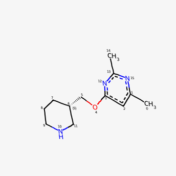 Cc1cc(OC[C@H]2CCCNC2)nc(C)n1